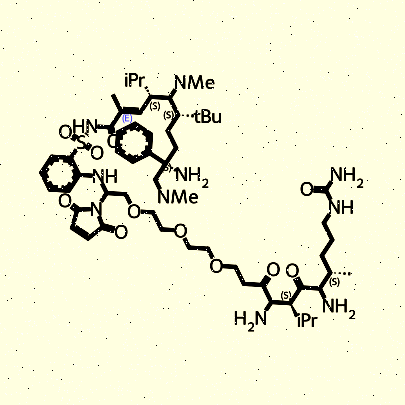 CNC[C@](N)(CC[C@H](C(NC)[C@H](/C=C(\C)C(=O)NS(=O)(=O)c1ccccc1NC(COCCOCCOCCC(=O)C(N)[C@@H](C(=O)C(N)[C@@H](C)CCCNC(N)=O)C(C)C)N1C(=O)C=CC1=O)C(C)C)C(C)(C)C)c1ccccc1